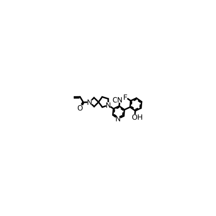 C=CC(=O)N1CC2(CCN(c3cncc(-c4c(O)cccc4F)c3C#N)C2)C1